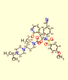 CCOc1ncccc1C1(OC(=O)N2CCC(N3CCN(C(C)C)CC3)CC2)C(=O)N(S(=O)(=O)c2ccc(OC)cc2)c2ccc(C#N)cc21